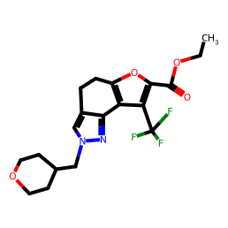 CCOC(=O)c1oc2c(c1C(F)(F)F)-c1nn(CC3CCOCC3)cc1CC2